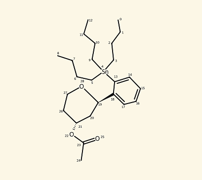 CCC[CH2][Sn]([CH2]CCC)([CH2]CCC)[c]1ccccc1[C@H]1C[C@H](OC(C)=O)CCO1